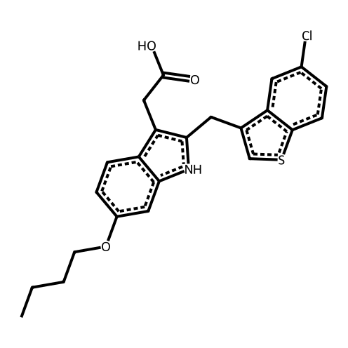 CCCCOc1ccc2c(CC(=O)O)c(Cc3csc4ccc(Cl)cc34)[nH]c2c1